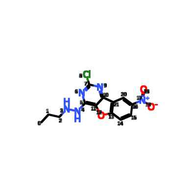 CCCNNc1nc(Cl)nc2c1oc1ccc([N+](=O)[O-])cc12